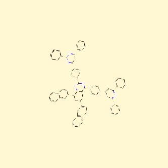 c1ccc(-c2cc(-c3ccc(-c4nc(-c5ccc(-c6cc(-c7ccccc7)nc(-c7ccccc7)n6)cc5)nc5c(-c6ccc7ccccc7c6)cc(-c6ccc7ccccc7c6)cc45)cc3)cc(-c3ccccc3)n2)cc1